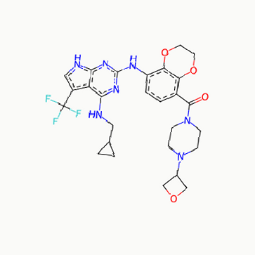 O=C(c1ccc(Nc2nc(NCC3CC3)c3c(C(F)(F)F)c[nH]c3n2)c2c1OCCO2)N1CCN(C2COC2)CC1